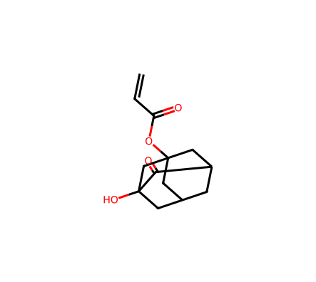 C=CC(=O)OC12CC3CC(C1)C(=O)C(O)(C3)C2